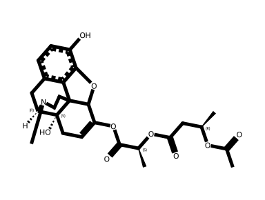 CC(=O)O[C@H](C)CC(=O)O[C@@H](C)C(=O)OC1=CC[C@@]2(O)[C@H]3Cc4ccc(O)c5c4C2(CCN3C)C1O5